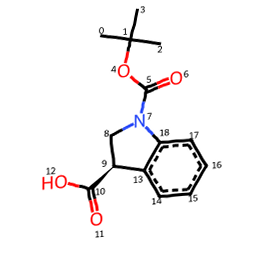 CC(C)(C)OC(=O)N1C[C@H](C(=O)O)c2ccccc21